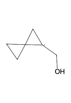 OC[C]1CC12CC2